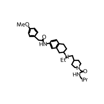 CCN(CC1CCN(C(=O)NC(C)C)CC1)C1CCc2ccc(NC(=O)Cc3ccc(OC)cc3)cc2C1